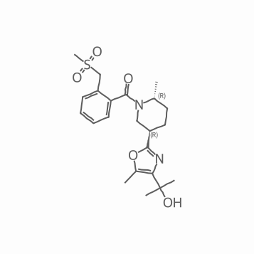 Cc1oc([C@@H]2CC[C@@H](C)N(C(=O)c3ccccc3CS(C)(=O)=O)C2)nc1C(C)(C)O